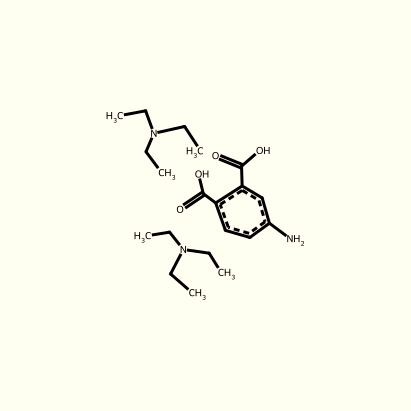 CCN(CC)CC.CCN(CC)CC.Nc1ccc(C(=O)O)c(C(=O)O)c1